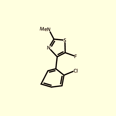 CNc1nc(-c2ccccc2Cl)c(F)s1